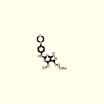 CCOc1nc(Nc2ccc(N3CCOCC3)cc2)nc2[nH]nc(SOOC)c12